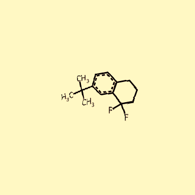 CC(C)(C)c1ccc2c(c1)C(F)(F)CCC2